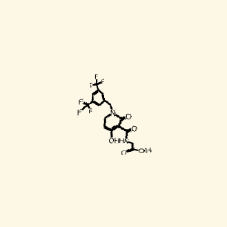 O=C(O)CNC(=O)C1=C(O)CCN(Cc2cc(C(F)(F)F)cc(C(F)(F)F)c2)C1=O